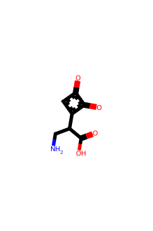 NCC(C(=O)O)c1cc(=O)c1=O